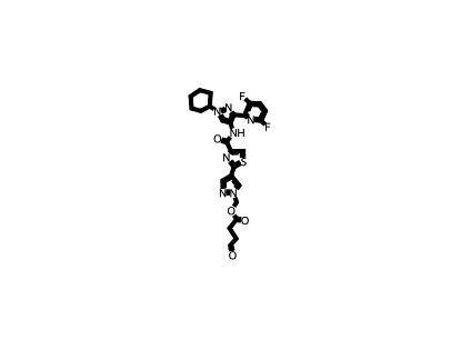 O=CCCC(=O)OCn1cc(-c2nc(C(=O)Nc3cn(C4CCCCC4)nc3-c3nc(F)ccc3F)cs2)cn1